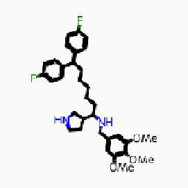 COc1cc(CNC(CCCCCC(c2ccc(F)cc2)c2ccc(F)cc2)C2CCNC2)cc(OC)c1OC